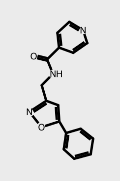 O=C(NCc1cc(-c2ccccc2)on1)c1ccncc1